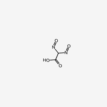 O=NC(N=O)C(=O)O